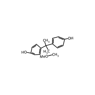 CC(C)(c1ccc(O)cc1)c1ccc(O)cc1.COC